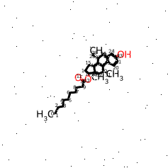 CCCCCCCCCCC(=O)O[C@H]1CCC2C3C(c4ccc(O)cc4C[C@@H]3CC)[C@@H](C)C[C@@]21C